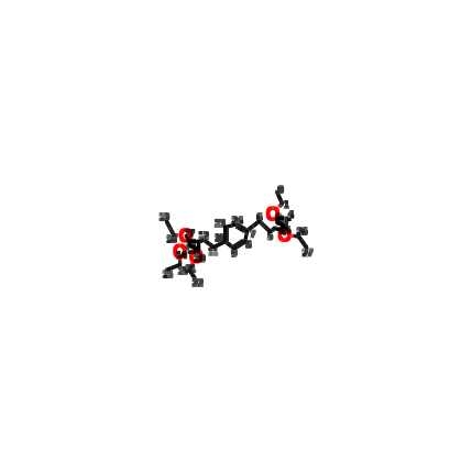 CCO[Si](C)(CCc1ccc(CC[Si](OCC)(OCC)OCC)cc1)OCC